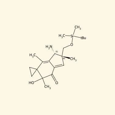 CC1=C2C(=C[C@@](C)(CO[Si](C)(C)C(C)(C)C)[C@H]2N)C(=O)C(C)(O)C12CC2